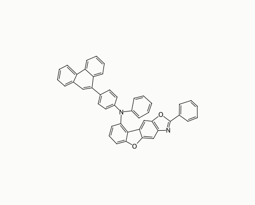 c1ccc(-c2nc3cc4oc5cccc(N(c6ccccc6)c6ccc(-c7cc8ccccc8c8ccccc78)cc6)c5c4cc3o2)cc1